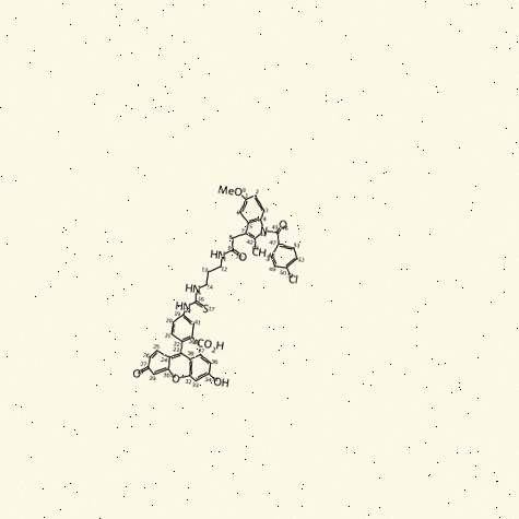 COc1ccc2c(c1)c(CC(=O)NCCCNC(=S)Nc1ccc(-c3c4ccc(=O)cc-4oc4cc(O)ccc34)c(C(=O)O)c1)c(C)n2C(=O)c1ccc(Cl)cc1